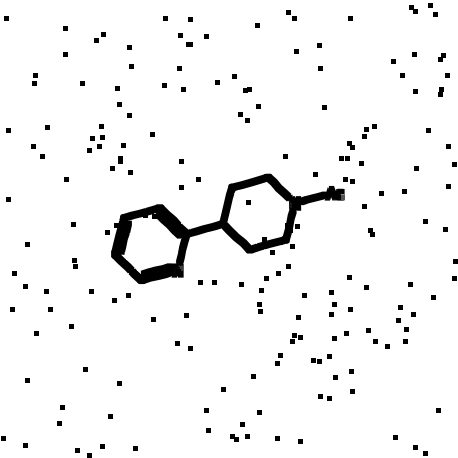 CC(=O)N1CCC(c2ccccn2)CC1